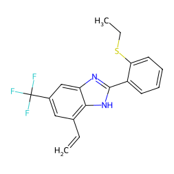 C=Cc1cc(C(F)(F)F)cc2nc(-c3ccccc3SCC)[nH]c12